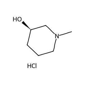 CN1CCC[C@@H](O)C1.Cl